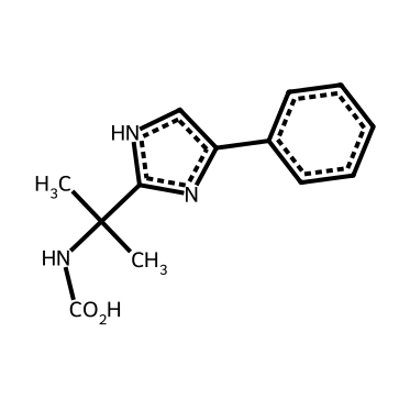 CC(C)(NC(=O)O)c1nc(-c2ccccc2)c[nH]1